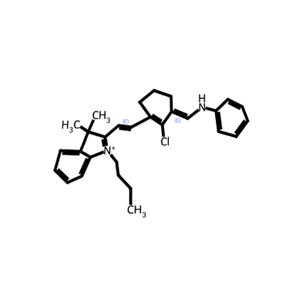 CCCC[N+]1=C(/C=C/C2=C(Cl)C(=C/Nc3ccccc3)/CCC2)C(C)(C)c2ccccc21